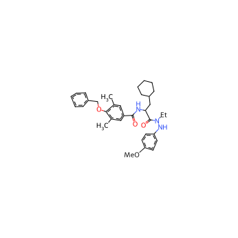 CCN(Nc1ccc(OC)cc1)C(=O)C(CC1CCCCC1)NC(=O)c1cc(C)c(OCc2ccccc2)c(C)c1